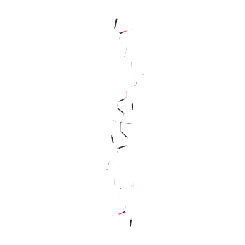 C=CC(=O)OCC(O)COC(O)COc1ccc(C(C)(C)c2ccc(OCC(O)OCC(O)COC(=O)C=C)cc2)cc1